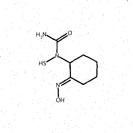 NC(=O)N(S)C1CCCCC1=NO